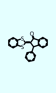 O=C1C(=C2Sc3ccccc3S2)C(c2ccccc2)c2ccccc21